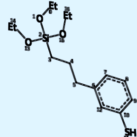 CCO[Si](CCCc1cccc(S)c1)(OCC)OCC